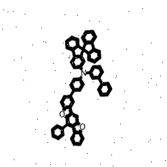 c1ccc(-c2cccc(N(c3ccc(-c4ccc5oc6c(-c7ccccc7)c7c(cc6c5c4)oc4ccccc47)cc3)c3ccc4c(c3)C3(c5ccccc5-c5ccccc53)c3ccccc3-4)c2)cc1